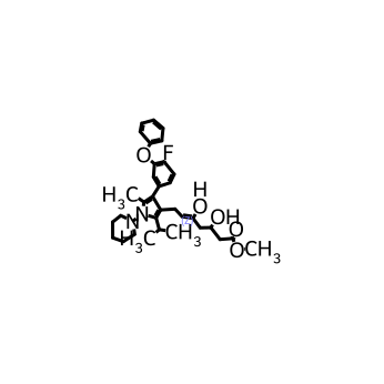 COC(=O)CC(O)C/C(O)=C/Cc1c(-c2ccc(F)c(Oc3ccccc3)c2)c(C)n(N2CCCCC2)c1C(C)C